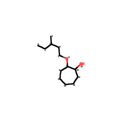 CCC(C)CCOC1CCCCCC1O